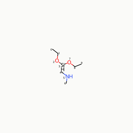 CCO[SiH](CNC)OCC